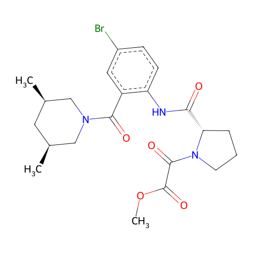 COC(=O)C(=O)N1CCC[C@H]1C(=O)Nc1ccc(Br)cc1C(=O)N1C[C@H](C)C[C@H](C)C1